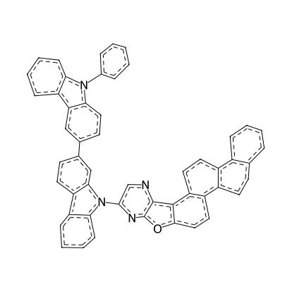 c1ccc(-n2c3ccccc3c3cc(-c4ccc5c6ccccc6n(-c6cnc7c(n6)oc6ccc8c9ccc%10ccccc%10c9ccc8c67)c5c4)ccc32)cc1